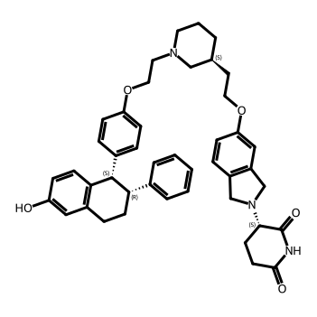 O=C1CC[C@H](N2Cc3ccc(OCC[C@@H]4CCCN(CCOc5ccc([C@H]6c7ccc(O)cc7CC[C@H]6c6ccccc6)cc5)C4)cc3C2)C(=O)N1